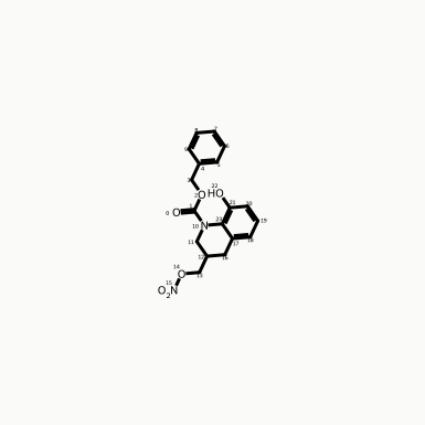 O=C(OCc1ccccc1)N1CC(CO[N+](=O)[O-])Cc2cccc(O)c21